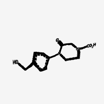 O=C(O)N1CCN(c2ccc(CO)cc2)C(=O)C1